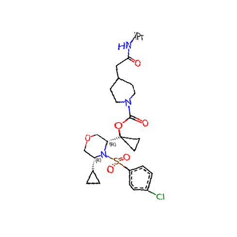 CC(C)NC(=O)CC1CCN(C(=O)OC2([C@H]3COC[C@@H](C4CC4)N3S(=O)(=O)c3ccc(Cl)cc3)CC2)CC1